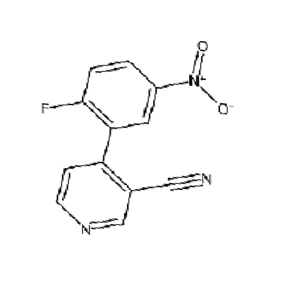 N#Cc1cnccc1-c1cc([N+](=O)[O-])ccc1F